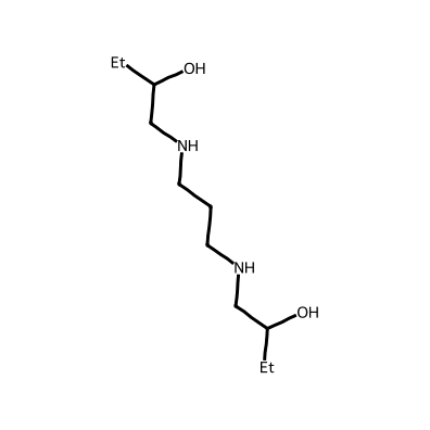 CCC(O)CNCCCNCC(O)CC